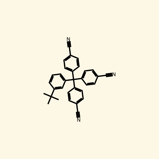 CC(C)(C)c1cccc(C(c2ccc(C#N)cc2)(c2ccc(C#N)cc2)c2ccc(C#N)cc2)c1